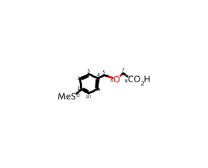 CSc1ccc(COCC(=O)O)cc1